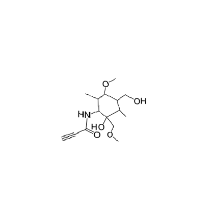 C#CC(=O)NC1C(C)C(OC)C(CO)C(C)C1(O)COC